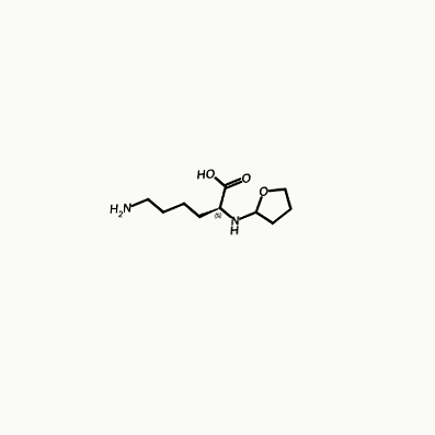 NCCCC[C@H](NC1CCCO1)C(=O)O